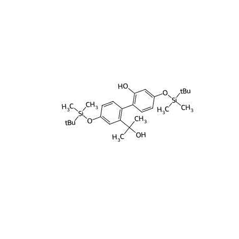 CC(C)(O)c1cc(O[Si](C)(C)C(C)(C)C)ccc1-c1ccc(O[Si](C)(C)C(C)(C)C)cc1O